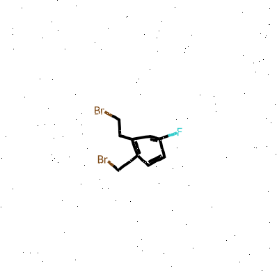 Fc1ccc(CBr)c(CCBr)c1